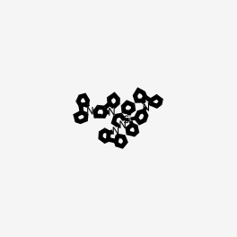 c1ccc([Si](c2ccccc2)(c2cccc(-n3c4ccccc4c4ccccc43)c2)c2cc(-n3c4ccccc4c4cc(-n5c6ccccc6c6ccccc65)ccc43)cc(-n3c4ccccc4c4ccccc43)n2)cc1